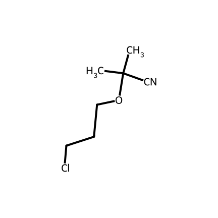 CC(C)(C#N)OCCCCl